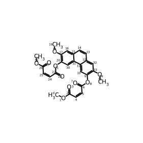 COC(=O)/C=C\C(=O)Oc1cc2c(ccc3cc(OC)c(OC(=O)/C=C\C(=O)OC)cc32)cc1OC